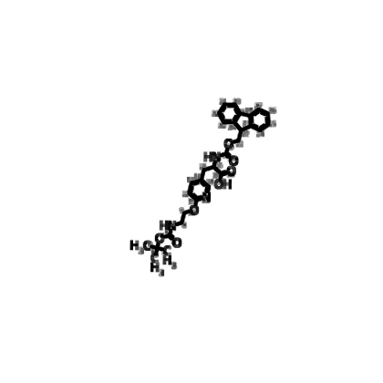 CC(C)(C)OC(=O)NCCOc1ccc(CC(NC(=O)OCC2c3ccccc3-c3ccccc32)C(=O)O)cn1